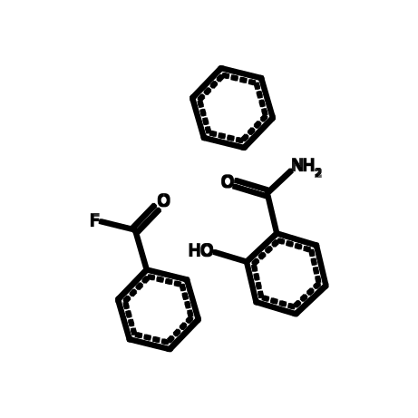 NC(=O)c1ccccc1O.O=C(F)c1ccccc1.c1ccccc1